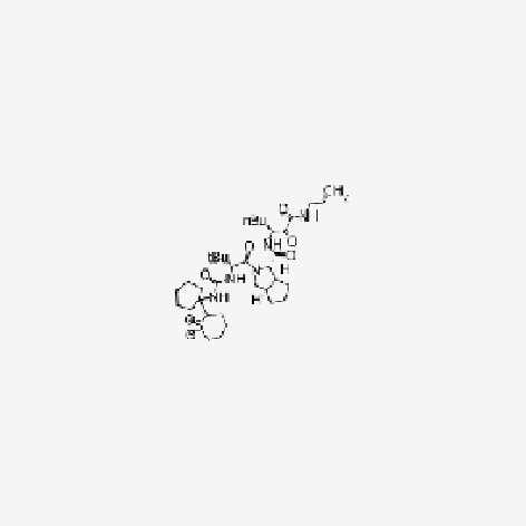 C=CCNC(=O)C(=O)[C@H](CCCC)NC(=O)[C@@H]1[C@H]2CCC[C@H]2CN1C(=O)[C@@H](NC(=O)NC1([C@H]2CCCCS2(=O)=O)CCCCC1)C(C)(C)C